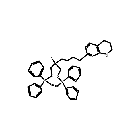 CC(C)(C)[Si](OCC(F)(CCCCc1ccc2c(n1)NCCC2)CO[Si](c1ccccc1)(c1ccccc1)C(C)(C)C)(c1ccccc1)c1ccccc1